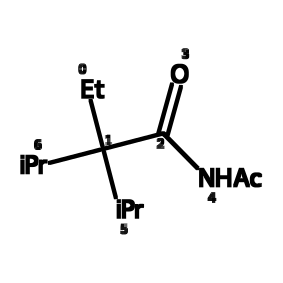 CCC(C(=O)NC(C)=O)(C(C)C)C(C)C